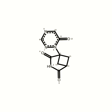 O=C1NC(=O)C2(n3ncncc3=O)CC1C2